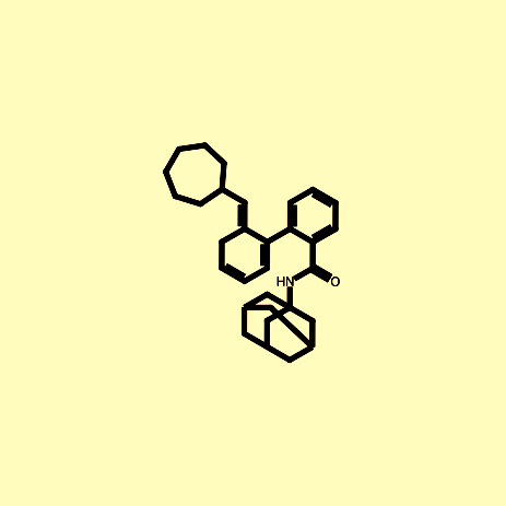 O=C(NC12CC3CC(CC(C3)C1)C2)c1ccccc1C1=CC=CCC1=CC1CCCCCC1